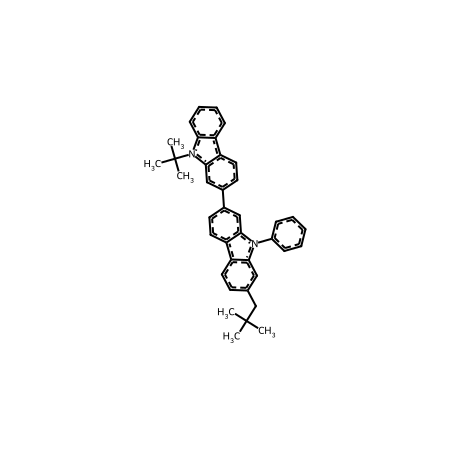 CC(C)(C)Cc1ccc2c3ccc(-c4ccc5c6ccccc6n(C(C)(C)C)c5c4)cc3n(-c3ccccc3)c2c1